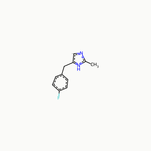 Cc1n[c]c(Cc2ccc(F)cc2)[nH]1